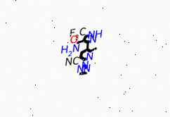 Cc1nc(-n2nccn2)c(C#N)cc1-c1n[nH]c(C(F)(F)F)c1C(N)=O